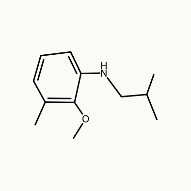 COc1c(C)cccc1NCC(C)C